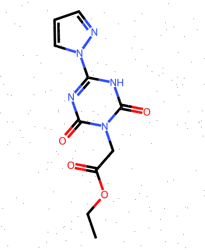 CCOC(=O)Cn1c(=O)nc(-n2cccn2)[nH]c1=O